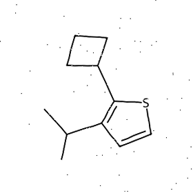 CC(C)c1ccsc1C1CCC1